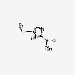 O=C(O)c1ncc(CBr)[nH]1